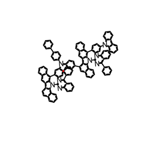 c1ccc(-c2ccc(-n3c4ccc(-c5cc6ccccc6c6c5c5cc7ccccc7c(-c7ccc(-n8c9ccccc9c9ccccc98)cc7)c5n6-c5nc(-c6ccccc6)c6ccccc6n5)cc4c4ccc(-c5c6ccccc6cc6c7ccc8ccccc8c7n(-c7nc(-c8ccccc8)c8ccccc8n7)c56)cc43)cc2)cc1